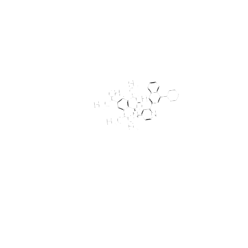 CC(C)c1cc(C(C)C)c(-c2nc3ccnc(-c4cc(C5CCCCC5)c5ccccc5c4)c3o2)c(C(C)C)c1